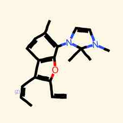 C=Cc1oc2c(N3C=CN(C)C3(C)C)c(C)ccc2c1/C=C\C